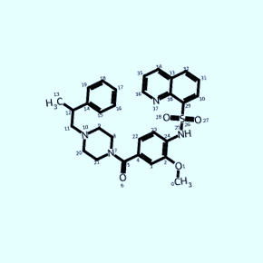 COc1cc(C(=O)N2CCN(CC(C)c3ccccc3)CC2)ccc1NS(=O)(=O)c1cccc2cccnc12